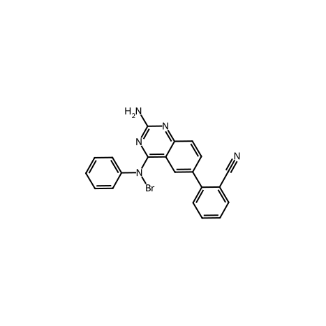 N#Cc1ccccc1-c1ccc2nc(N)nc(N(Br)c3ccccc3)c2c1